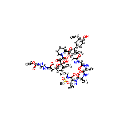 CCS(=O)(=O)N(CC#N)C(=O)[C@H](CC(C)C)NC(=O)[C@H](C)NC(=O)[C@@H](NC(=O)CNC(=O)C[C@H](OC(=O)[C@@H]1CCCCN1C(=O)C(=O)C1(O)O[C@H](CC(=O)NCCNC(=O)OC(C)(C)C)CC[C@H]1C)[C@H](C)C[C@@H]1CC[C@@H](O)[C@H](OC)C1)C(C)C